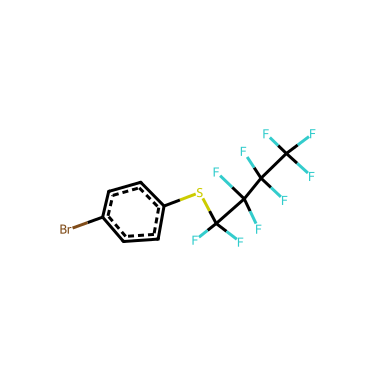 FC(F)(F)C(F)(F)C(F)(F)C(F)(F)Sc1ccc(Br)cc1